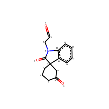 O=CCN1C(=O)C2(CCCC(=O)C2)c2ccccc21